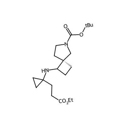 CCOC(=O)CCC1(NC2CC[C@@]23CCN(C(=O)OC(C)(C)C)C3)CC1